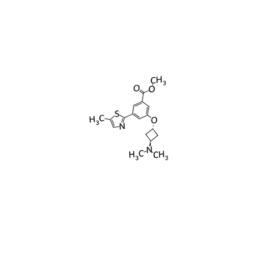 COC(=O)c1cc(O[C@H]2C[C@H](N(C)C)C2)cc(-c2ncc(C)s2)c1